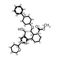 COC(=O)N1CCCC(c2nn(C3CCCCO3)cc2CO)C1COC1CCC(c2ccccc2)CC1